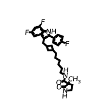 CC1(C(=O)NCCCCCCC2CC(Cc3c(-c4ccc(F)cc4)[nH]c4c(F)cc(F)cc34)C2)CCNC1=O